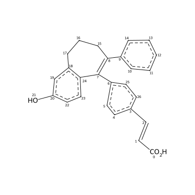 O=C(O)/C=C/c1ccc(C2=C(c3ccccc3)CCCc3cc(O)ccc32)cc1